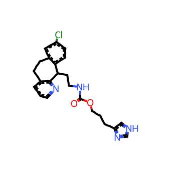 O=C(NCCC1c2ccc(Cl)cc2CCc2cccnc21)OCCCc1c[nH]cn1